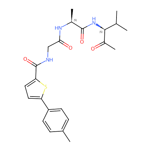 CC(=O)[C@@H](NC(=O)[C@H](C)NC(=O)CNC(=O)c1ccc(-c2ccc(C)cc2)s1)C(C)C